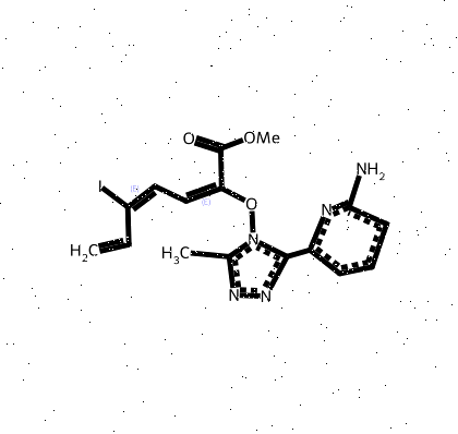 C=C/C(I)=C\C=C(\On1c(C)nnc1-c1cccc(N)n1)C(=O)OC